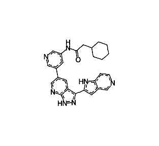 O=C(CC1CCCCC1)Nc1cncc(-c2cnc3[nH]nc(-c4cc5cnccc5[nH]4)c3c2)c1